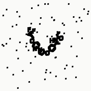 CCC(=O)N[C@@H](C)c1ccc(OC2CCN(c3ccc(OCC4CC4(F)F)cn3)C2)cc1